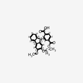 COC(=O)c1ccc(C(=O)O)cc1.COc1cc2[nH]c3ccccc3c2cc1OC